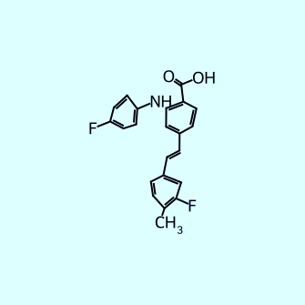 Cc1ccc(C=Cc2ccc(C(=O)O)c(Nc3ccc(F)cc3)c2)cc1F